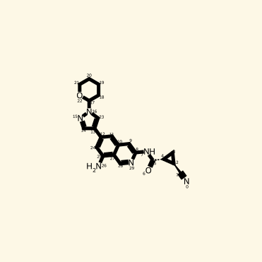 N#C[C@@H]1C[C@H]1C(=O)Nc1cc2cc(-c3cnn(C4CCCCO4)c3)cc(N)c2cn1